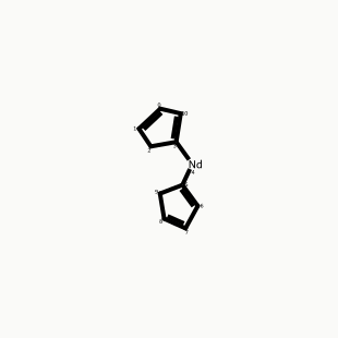 C1=CC[C]([Nd][C]2=CC=CC2)=C1